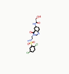 O=C(CO)Nc1ccc2ncn(CCNS(=O)(=O)c3cc(Cl)ccc3Cl)c(=O)c2c1